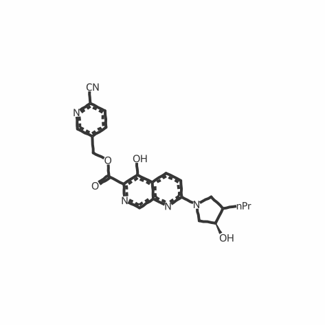 CCCC1CN(c2ccc3c(O)c(C(=O)OCc4ccc(C#N)nc4)ncc3n2)C[C@@H]1O